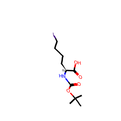 CC(C)(C)OC(=O)N[C@@H](CCCCI)C(=O)O